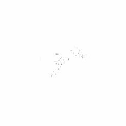 CC(=O)N1CC[C@@H](NC(=O)[C@H](CCCn2c([N+](=O)[O-])nc3ccccc32)NC(=O)OC(C)(C)C)C1